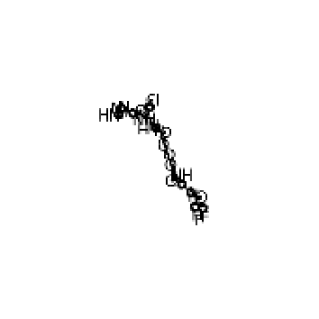 NC1(C(=O)N[C@@H](CCN2CCN(C(=O)CCOCCOCCOCCNC(=O)c3ccc(C4CCN(C(=O)c5cccc6c(C(F)(F)F)cccc56)CC4)cc3)CC2)c2ccc(Cl)cc2)CCN(c2ncnc3[nH]ccc23)CC1